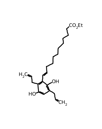 C=CCc1cc(O)c(CC=C)c(C=CCCCCCCCCCC(=O)OCC)c1O